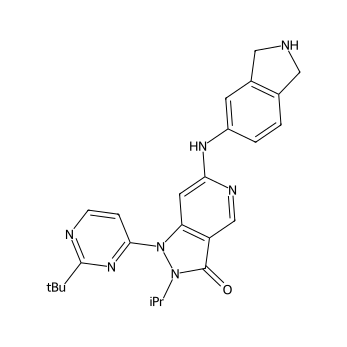 CC(C)n1c(=O)c2cnc(Nc3ccc4c(c3)CNC4)cc2n1-c1ccnc(C(C)(C)C)n1